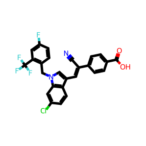 N#C/C(=C\c1cn(Cc2ccc(F)cc2C(F)(F)F)c2cc(Cl)ccc12)c1ccc(C(=O)O)cc1